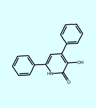 O=c1[nH]c(-c2ccccc2)cc(-c2ccccc2)c1O